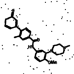 COc1ccc(NC(=O)c2ccc(C3=CC(=S)CC=C3)c(C)c2)cc1N1CCN(C)CC1